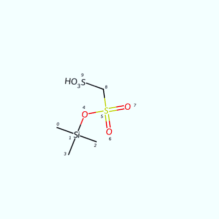 C[Si](C)(C)OS(=O)(=O)CS(=O)(=O)O